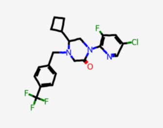 O=C1CN(Cc2ccc(C(F)(F)F)cc2)C(C2CCC2)CN1c1ncc(Cl)cc1F